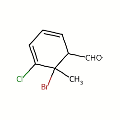 CC1(Br)C(Cl)=CC=CC1[C]=O